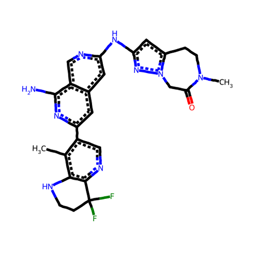 Cc1c(-c2cc3cc(Nc4cc5n(n4)CC(=O)N(C)CC5)ncc3c(N)n2)cnc2c1NCCC2(F)F